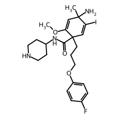 COC1=CC(C)(N)C(I)=CC1(CCCOc1ccc(F)cc1)C(=O)NC1CCNCC1